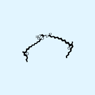 CCCCCc1cc(C)c(CCCCCCCCCCC(=O)OC[C@H](CO)OC(=O)CCCCCCCCCCc2oc(CCC)cc2C)o1